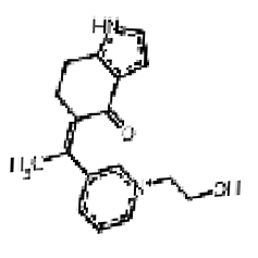 CC(=C1CCc2[nH]ccc2C1=O)c1ccc[n+](CCO)c1